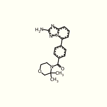 CC1(C)COCCN1C(=O)c1ccc(-c2cccc3nc(N)nn23)cc1